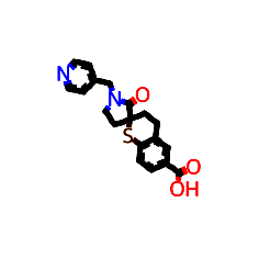 O=C(O)c1ccc2c(c1)CCC1(CCN(Cc3ccncc3)C1=O)S2